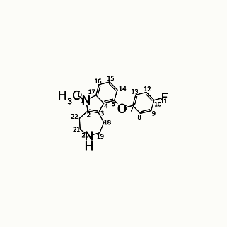 Cn1c2c(c3c(Oc4ccc(F)cc4)cccc31)CCNCC2